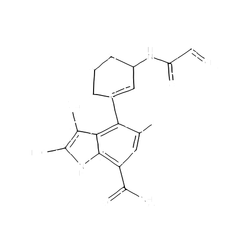 C=CC(=O)NC1C=C(c2c(F)cc(C(N)=O)c3[nH]c(C)c(C)c23)CCC1